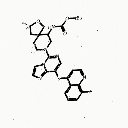 C[C@H]1CC2(CCN(c3ncc(Sc4ccnc5c(F)cccc45)c4nccn34)CC2NC(=O)OC(C)(C)C)CO1